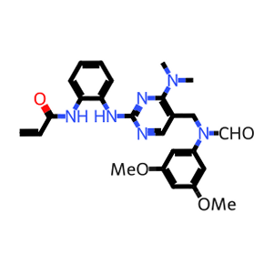 C=CC(=O)Nc1ccccc1Nc1ncc(CN(C=O)c2cc(OC)cc(OC)c2)c(N(C)C)n1